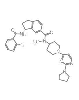 CN(C(=O)c1ccc2c(c1)[C@H](NC(=O)c1ccccc1Cl)CC2)C1CCN(c2ccnc(N3CCCC3)n2)CC1